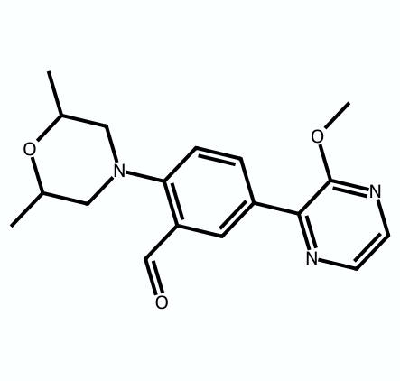 COc1nccnc1-c1ccc(N2CC(C)OC(C)C2)c(C=O)c1